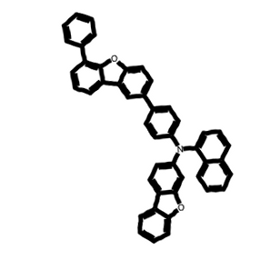 c1ccc(-c2cccc3c2oc2ccc(-c4ccc(N(c5ccc6c(c5)oc5ccccc56)c5cccc6ccccc56)cc4)cc23)cc1